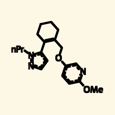 CCCn1nccc1C1=C(COc2ccc(OC)nc2)CCCC1